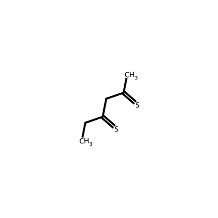 CCC(=S)CC(C)=S